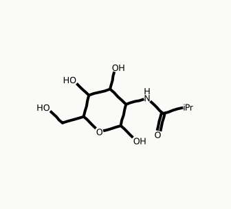 CC(C)C(=O)NC1C(O)OC(CO)C(O)C1O